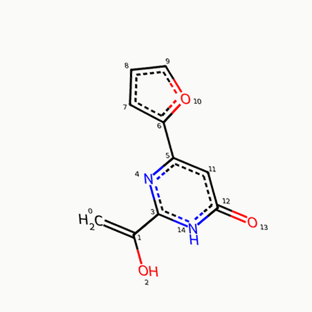 C=C(O)c1nc(-c2ccco2)cc(=O)[nH]1